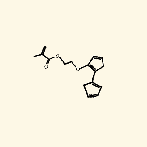 C=C(C)C(=O)OCCOC1=C(C2=CC=CC2)CC=C1